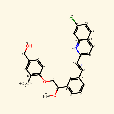 CCOC(COc1ccc(CO)cc1C(=O)O)c1cccc(/C=C/c2ccc3ccc(Cl)cc3n2)c1